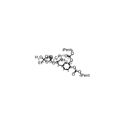 CCCC(C)OC(=O)Oc1ccc(C[C@](NC(C)C)(OC(=O)OC(C)(C)CC)C(=O)O)cc1OC(=O)OC(C)CCC